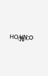 OC1CCN(C[C@@H]2Cc3ccccc3CN2)CC1